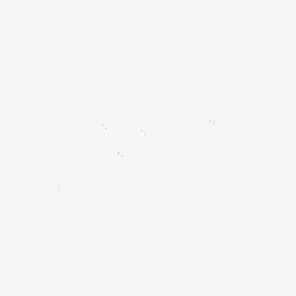 COc1cccc(-n2c(N3CCC(C(=O)NC4CCOC4)CC3)nc3cc(Cl)c(Cl)cc32)c1